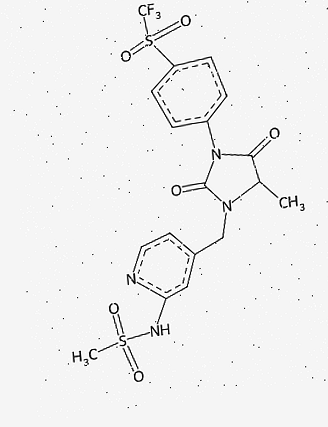 CC1C(=O)N(c2ccc(S(=O)(=O)C(F)(F)F)cc2)C(=O)N1Cc1ccnc(NS(C)(=O)=O)c1